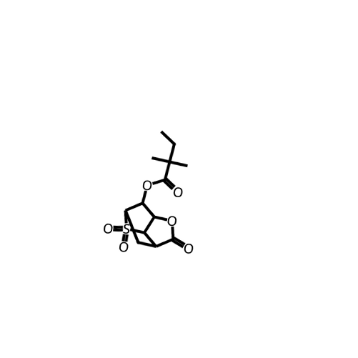 CCC(C)(C)C(=O)OC1C2OC(=O)C3CC1S(=O)(=O)C32